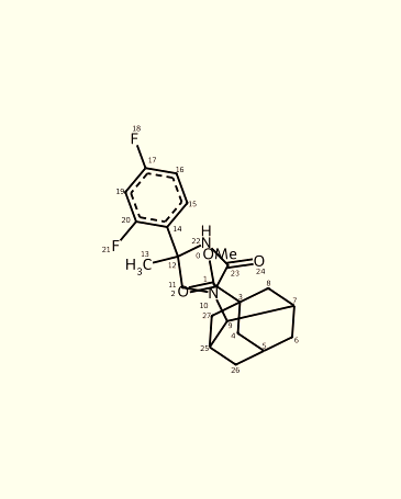 COC(=O)C12CC3CC(C1)C(N1CC(C)(c4ccc(F)cc4F)NC1=O)C(C3)C2